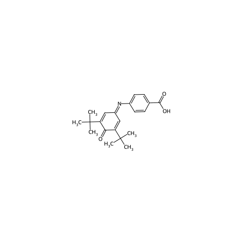 CC(C)(C)C1=CC(=Nc2ccc(C(=O)O)cc2)C=C(C(C)(C)C)C1=O